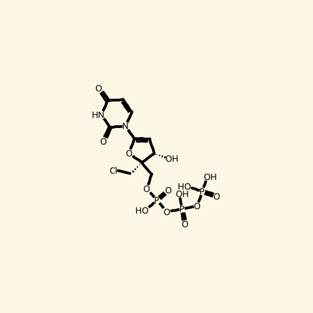 O=c1ccn(C2=C[C@H](O)[C@@](CCl)(COP(=O)(O)OP(=O)(O)OP(=O)(O)O)O2)c(=O)[nH]1